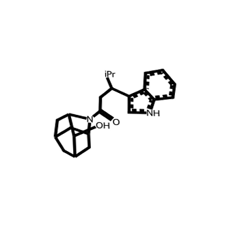 CC(C)C(CC(=O)N1C2CC3CC(C2)C(O)C1C3)c1c[nH]c2ccccc12